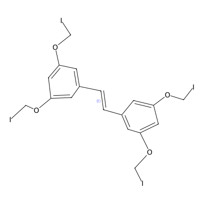 ICOc1cc(/C=C/c2cc(OCI)cc(OCI)c2)cc(OCI)c1